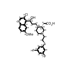 COc1ccc2ncc(Cl)c([C@@H](O)CC[C@@H]3CCN(CCSc4cc(F)cc(F)c4)C[C@H]3CC(=O)O)c2c1